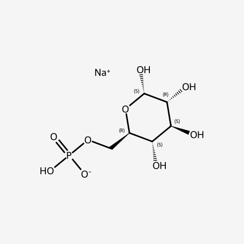 O=P([O-])(O)OC[C@H]1O[C@H](O)[C@H](O)[C@@H](O)[C@@H]1O.[Na+]